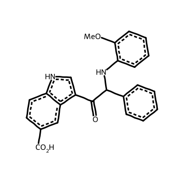 COc1ccccc1NC(C(=O)c1c[nH]c2ccc(C(=O)O)cc12)c1ccccc1